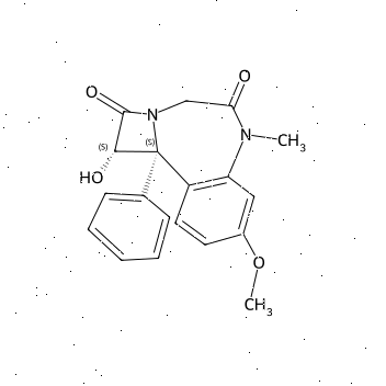 COc1ccc2c(c1)N(C)C(=O)CN1C(=O)[C@@H](O)[C@]21c1ccccc1